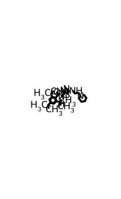 CC(C)c1cc(C(C)C)c(C(=O)Nc2nnc(NCCN3CCCCC3)s2)c(C(C)C)c1